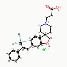 Cl.O=C(O)CCN1CCC2(CC1)COc1cc(/C=C(/c3ccccc3)C(F)(F)F)ccc12